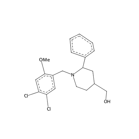 COc1cc(Cl)c(Cl)cc1CN1CCC(CO)CC1c1ccccc1